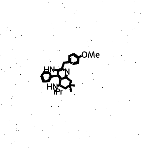 COc1ccc(Cc2nc3c(c4c2[nH]c2ccccc24)C(NC(C)C)CC(C)(C)C3)cc1